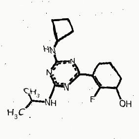 CC(C)Nc1nc(NC2CCC2)nc(C2=C(F)C(O)CCC2)n1